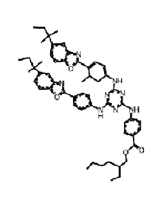 CCCCC(CC)COC(=O)c1ccc(Nc2nc(NC3=CC=C(c4nc5cc(C(C)(C)CC)ccc5o4)C(C)C3)nc(Nc3ccc(-c4nc5cc(C(C)(C)CC)ccc5o4)cc3)n2)cc1